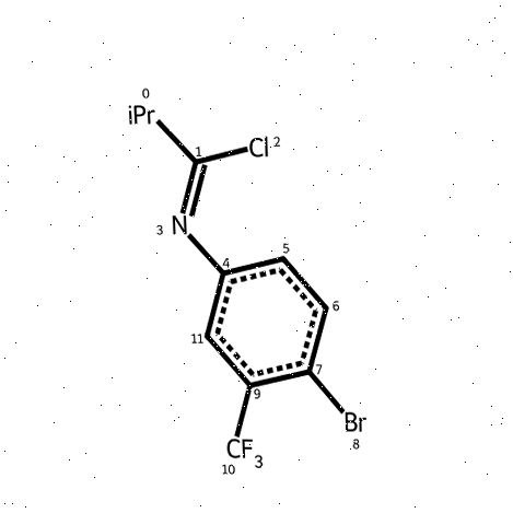 CC(C)C(Cl)=Nc1ccc(Br)c(C(F)(F)F)c1